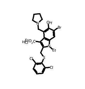 CCOC(=O)c1c(CSc2c(Cl)cccc2Cl)n(CC)c2cc(Br)c(O)c(CN3CCCC3)c12.Cl